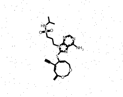 C#CC1=C/C(=C)OCOC/C=C\1Sc1nc2c(N)ncnc2n1CCCS(=O)(=O)NC(C)C